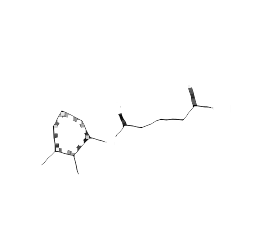 Cc1cccc(OC(=O)CCCC(=O)O)c1C